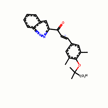 Cc1cc(/C=C/C(=O)c2cc3ccccc3nn2)cc(C)c1OC(C)(C)C(=O)O